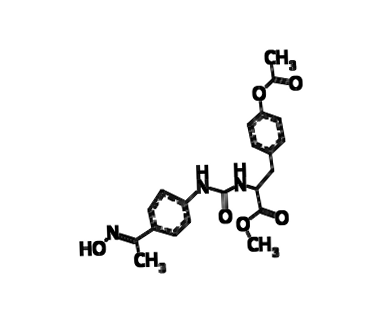 COC(=O)C(Cc1ccc(OC(C)=O)cc1)NC(=O)Nc1ccc(/C(C)=N/O)cc1